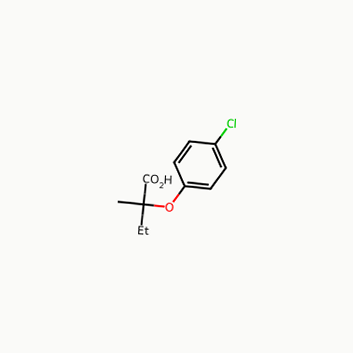 CCC(C)(Oc1ccc(Cl)cc1)C(=O)O